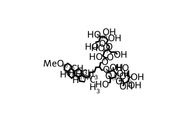 CO[C@@H]1CC[C@@]2(C)[C@H](CC[C@@H]3[C@@H]2CC[C@]2(C)[C@@H]([C@H](C)CCCC(CO[C@@H]4OC(CO)C(OC5OC(CO)[C@@H](O)[C@H](O)C5O)[C@H](O)C4O)CO[C@@H]4OC(CO)[C@@H](O[C@H]5OC(CO)[C@@H](O)[C@H](O)C5O)[C@H](O)C4O)CC[C@@H]32)C1